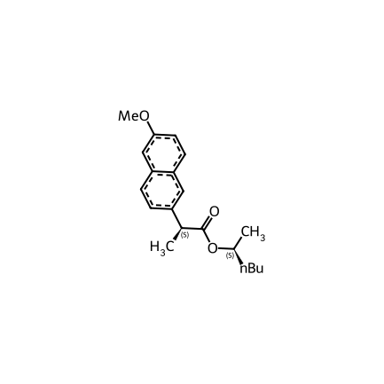 CCCC[C@H](C)OC(=O)[C@@H](C)c1ccc2cc(OC)ccc2c1